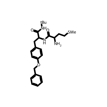 CSCCC(N)C(=O)NC(Cc1ccc(OCc2ccccc2)cc1)C(=O)NC(C)(C)C